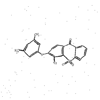 Cc1cc(C)cc(Sc2ccc3c(c2Cl)S(=O)(=O)c2ccccc2C3=O)c1